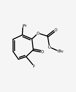 CC(C)c1cccc(F)c(=O)c1OC(=O)OC(C)(C)C